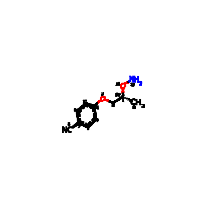 C[C@H](COc1ccc(C#N)cc1)ON